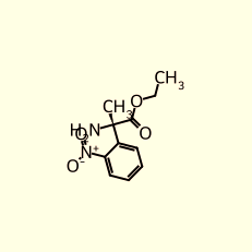 CCOC(=O)[C@@](C)(N)c1ccccc1[N+](=O)[O-]